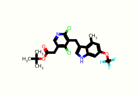 Cc1cc(OC(F)(F)F)cc2[nH]cc(Cc3c(Cl)ncc(CC(=O)OC(C)(C)C)c3Cl)c12